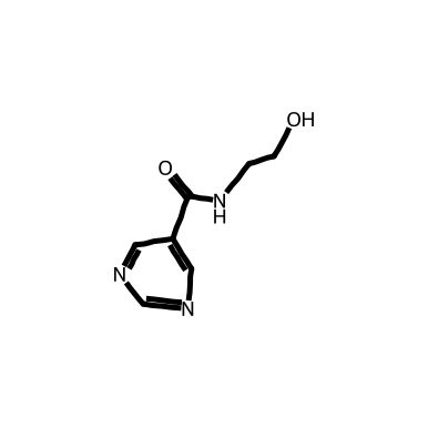 O=C(NCCO)c1cncnc1